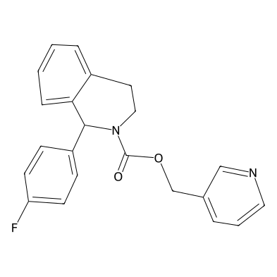 O=C(OCc1cccnc1)N1CCc2ccccc2C1c1ccc(F)cc1